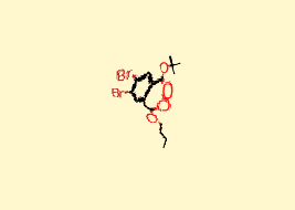 CCCCOC(=O)c1cc(Br)c(Br)cc1C(=O)OC(C)(C)C